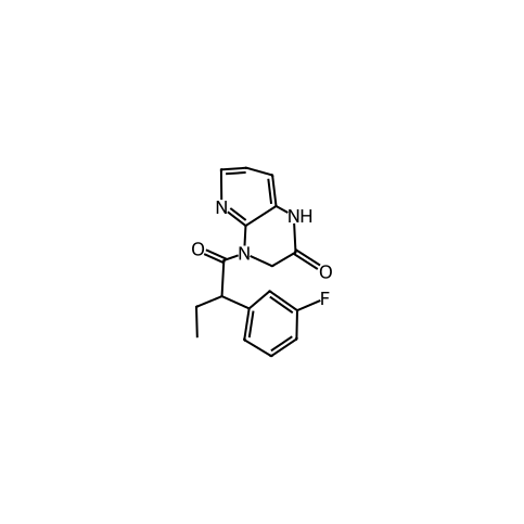 CCC(C(=O)N1CC(=O)Nc2cccnc21)c1cccc(F)c1